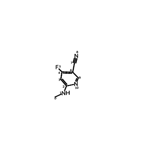 CNc1cc(F)c(C#N)cn1